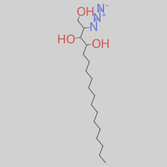 CCCCCCCCCCCCCCC(O)C(O)C(CO)N=[N+]=[N-]